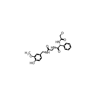 COc1cc(CNC(=O)CNC(=O)[C@H](NC(=O)C[O])c2ccccc2)ccc1O